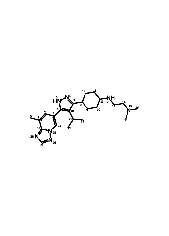 Cc1cc(-c2[nH]nc(C3CCC(NCCN(C)C)CC3)c2C(C)C)cn2ncnc12